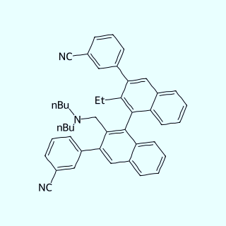 CCCCN(CCCC)Cc1c(-c2cccc(C#N)c2)cc2ccccc2c1-c1c(CC)c(-c2cccc(C#N)c2)cc2ccccc12